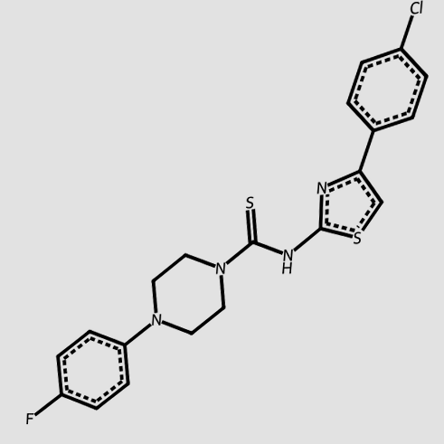 Fc1ccc(N2CCN(C(=S)Nc3nc(-c4ccc(Cl)cc4)cs3)CC2)cc1